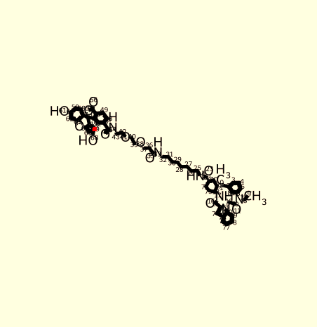 CCc1cccc(N(CC)C(=O)Cn2c(C(=O)N[C@H]3CC[C@H](C(=O)NCCCCCCCCNC(=O)CCOCCOCCNC(=O)c4ccc5c(c4)C4(OC5=O)c5ccc(O)cc5Oc5cc(O)ccc54)CC3)cc3ccccc32)c1